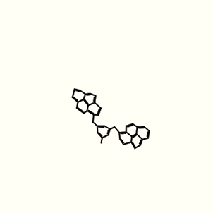 Cc1cc(Cc2ccc3ccc4cccc5ccc2c3c45)cc(Cc2ccc3ccc4cccc5ccc2c3c45)c1